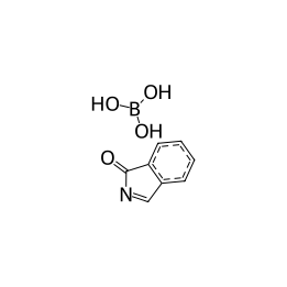 O=C1N=Cc2ccccc21.OB(O)O